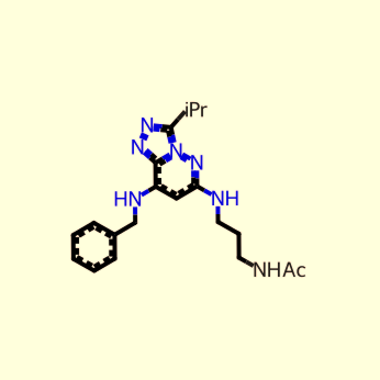 CC(=O)NCCCNc1cc(NCc2ccccc2)c2nnc(C(C)C)n2n1